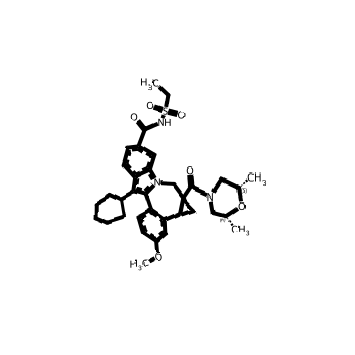 CCS(=O)(=O)NC(=O)c1ccc2c(C3CCCCC3)c3n(c2c1)CC1(C(=O)N2C[C@@H](C)O[C@@H](C)C2)CC1c1cc(OC)ccc1-3